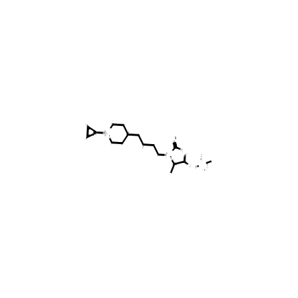 CC1C(OS(C)(=O)=O)OC(=O)N1CCCCC1CCN(C2CC2)CC1